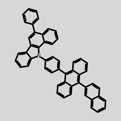 c1ccc(-c2cc3c4ccccc4n(-c4ccc(-c5c6ccccc6c(-c6ccc7ccccc7c6)c6ccccc56)cc4)c3c3ccccc23)cc1